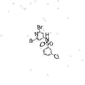 O=S(=O)(Nc1cc(Br)nc(Br)c1)c1cccc(Cl)c1